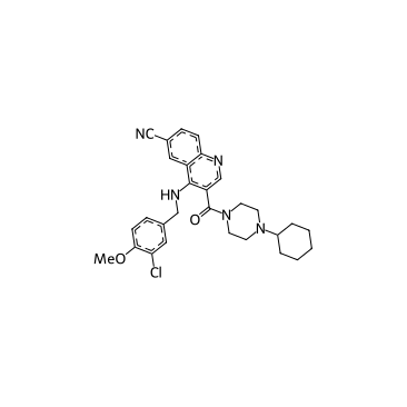 COc1ccc(CNc2c(C(=O)N3CCN(C4CCCCC4)CC3)cnc3ccc(C#N)cc23)cc1Cl